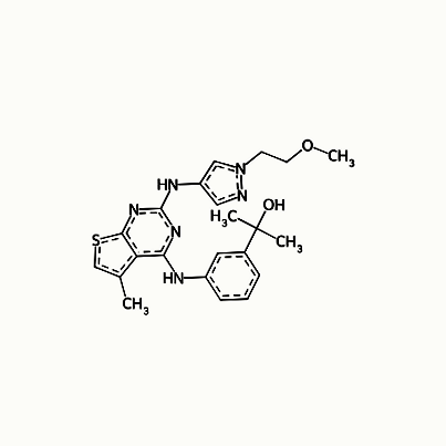 COCCn1cc(Nc2nc(Nc3cccc(C(C)(C)O)c3)c3c(C)csc3n2)cn1